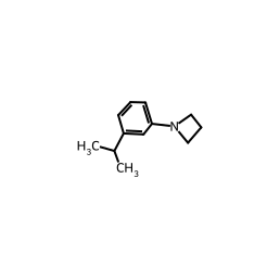 CC(C)c1cccc(N2CCC2)c1